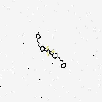 c1ccc(CCCc2ccc3c(c2)sc2c3sc3c4ccc(CCCc5ccccc5)cc4sc32)cc1